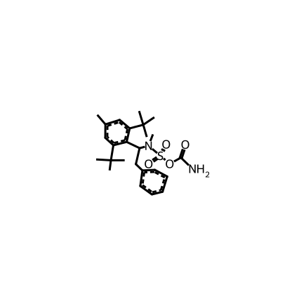 Cc1cc(C(C)(C)C)c(C(Cc2ccccc2)N(C)S(=O)(=O)OC(N)=O)c(C(C)(C)C)c1